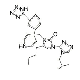 CCCCc1cn(-c2nncn2CC(C)C)c(=O)n1CC1(c2cccc(-c3nnn[nH]3)c2)C=CNC=C1